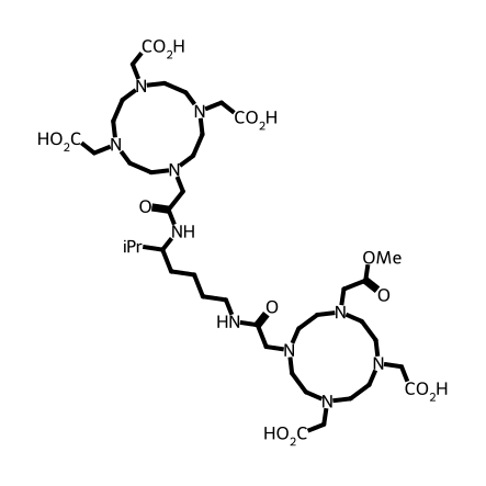 COC(=O)CN1CCN(CC(=O)O)CCN(CC(=O)O)CCN(CC(=O)NCCCCC(NC(=O)CN2CCN(CC(=O)O)CCN(CC(=O)O)CCN(CC(=O)O)CC2)C(C)C)CC1